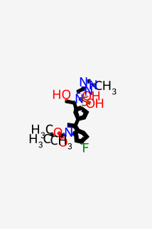 Cn1cnc(CN2C(CO)c3cc(-c4cn(C(=O)OC(C)(C)C)c5cc(F)ccc45)ccc3S2(O)O)n1